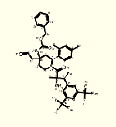 Cc1cc(F)ccc1[C@H]1C[C@@](CC=O)(NC(=O)OCc2ccccc2)CCN1C(=O)C(C)(N)[C@@H](C)c1cc(C(F)(F)F)cc(C(F)(F)F)c1